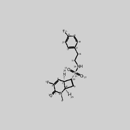 CN1C(=O)C(F)=C[C@@H]2[C@H]1C[C@H]2S(=O)(=O)NCCc1ccc(F)cc1